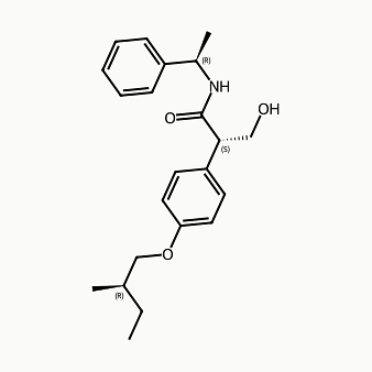 CC[C@@H](C)COc1ccc([C@@H](CO)C(=O)N[C@H](C)c2ccccc2)cc1